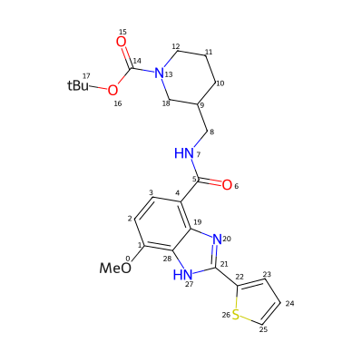 COc1ccc(C(=O)NCC2CCCN(C(=O)OC(C)(C)C)C2)c2nc(-c3cccs3)[nH]c12